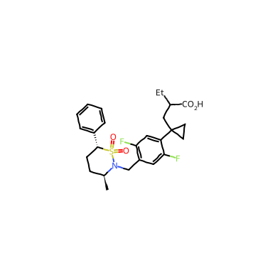 CCC(CC1(c2cc(F)c(CN3[C@@H](C)CC[C@H](c4ccccc4)S3(=O)=O)cc2F)CC1)C(=O)O